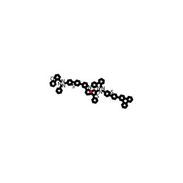 C1=Cc2oc3cccc(-c4nc(-c5ccccc5)nc(-c5ccc6c(c5)sc5cc(-c7ccc8c(c7)c7ccccc7n8-c7ccc(-c8ccccc8-c8nc(-c9ccc%10c(c9)sc9cc(-c%11ccc%12c%13ccccc%13c%13ccccc%13c%12c%11)ccc9%10)nc(-c9cccc%10c9sc9ccccc9%10)n8)cc7)ccc56)n4)c3c2CC1